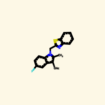 CC(=O)Oc1c(C)n(Cc2nc3ccccc3s2)c2ccc(F)cc12